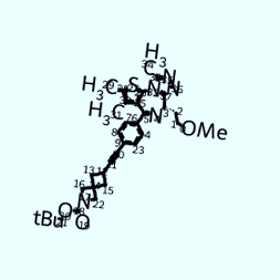 COCC[C@@H]1N=C(c2ccc(C#CC3CC4(C3)CN(C(=O)OC(C)(C)C)C4)cc2)c2c(sc(C)c2C)-n2c(C)nnc21